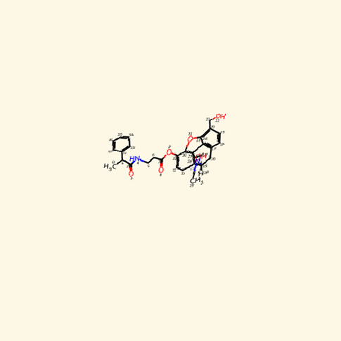 CC(C(=O)NCCC(=O)OC1=CC[C@@]2(O)[C@H]3Cc4ccc(CO)c5c4C2(CCN3C)C1O5)c1ccccc1